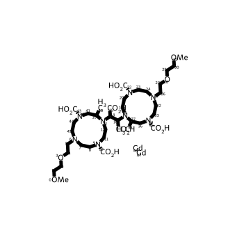 COCCOCCN1CCN(C(=O)O)CCN(C(C(=O)O)C(C(=O)O)N2CCN(C(=O)O)CCN(CCOCCOC)CCN(C(=O)O)CC2C)C(C)CN(C(=O)O)CC1.[Gd].[Gd]